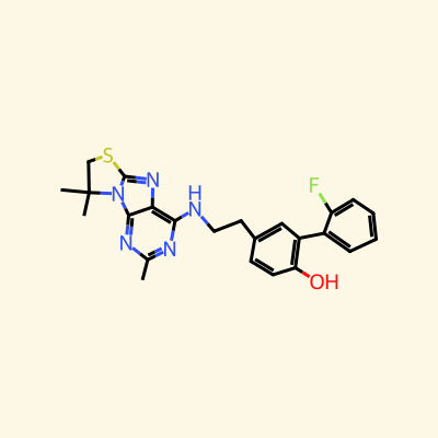 Cc1nc(NCCc2ccc(O)c(-c3ccccc3F)c2)c2nc3n(c2n1)C(C)(C)CS3